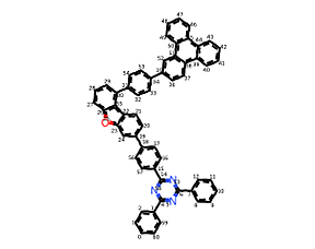 c1ccc(-c2nc(-c3ccccc3)nc(-c3ccc(-c4ccc5c(c4)oc4cccc(-c6ccc(-c7ccc8c9ccccc9c9ccccc9c8c7)cc6)c45)cc3)n2)cc1